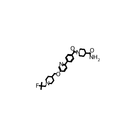 CC(C)(F)CN1CCC(COc2ccc(-c3ccc(C(=O)N4CCC(C(N)=O)CC4)cc3)nc2)CC1